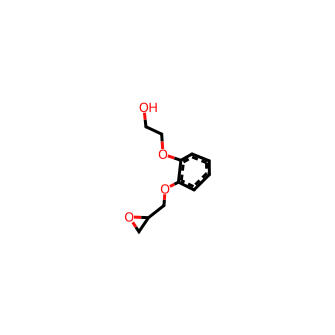 OCCOc1ccccc1OCC1CO1